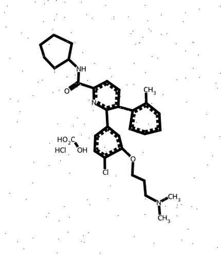 Cc1ccccc1-c1ccc(C(=O)NC2CCCCC2)nc1-c1ccc(Cl)c(OCCCN(C)C)c1.Cl.O=C(O)O